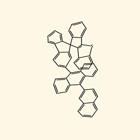 c1ccc2c(c1)-c1ccc(-c3c4ccccc4c(-c4ccc5ccccc5c4)c4ccccc34)cc1C21c2ccccc2-c2sc3ccccc3c21